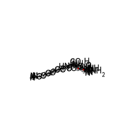 Cn1cc(COCCOCCOCCOCCOCCOCCNC(=O)CC[C@H](NC(=O)c2ccc(NCc3cnc4nc(N)[nH]c(=O)c4n3)cc2)C(=O)O)nn1